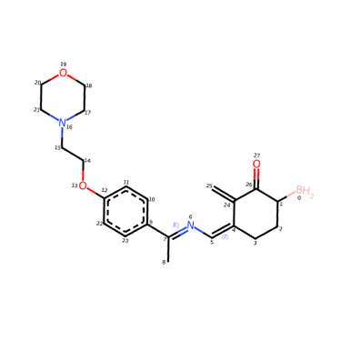 BC1CC/C(=C/N=C(\C)c2ccc(OCCN3CCOCC3)cc2)C(=C)C1=O